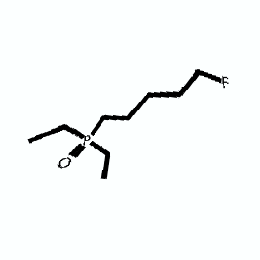 CCP(=O)(CC)CCCCCF